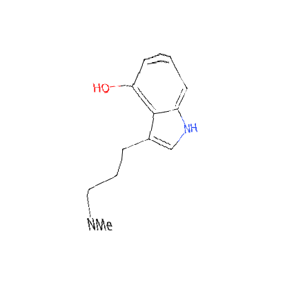 CNCCCc1c[nH]c2cccc(O)c12